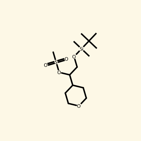 CC(C)(C)[Si](C)(C)OCC(OS(C)(=O)=O)C1CCOCC1